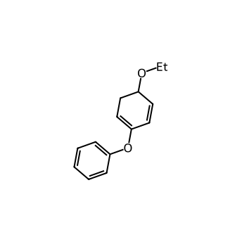 CCOC1C=CC(Oc2ccccc2)=CC1